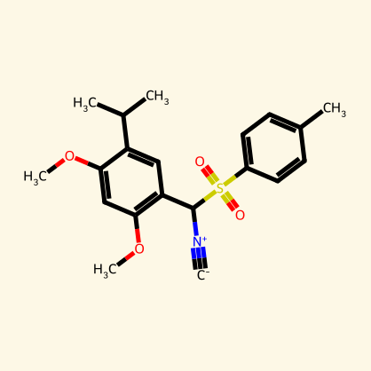 [C-]#[N+]C(c1cc(C(C)C)c(OC)cc1OC)S(=O)(=O)c1ccc(C)cc1